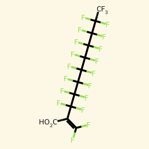 O=C(O)C(=C(F)F)C(F)(F)C(F)(F)C(F)(F)C(F)(F)C(F)(F)C(F)(F)C(F)(F)C(F)(F)C(F)(F)F